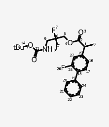 CC(C(=O)OCC(F)(F)CNC(=O)OC(C)(C)C)c1ccc(-c2ccccc2)c(F)c1